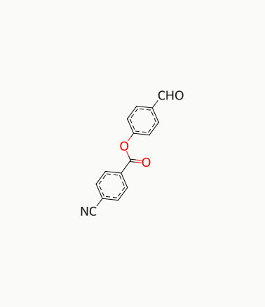 N#Cc1ccc(C(=O)Oc2ccc(C=O)cc2)cc1